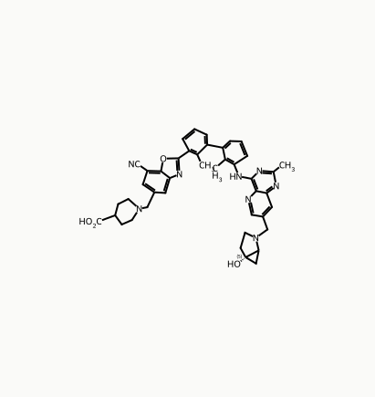 Cc1nc(Nc2cccc(-c3cccc(-c4nc5cc(CN6CCC(C(=O)O)CC6)cc(C#N)c5o4)c3C)c2C)c2ncc(CN3CC[C@]4(O)CC34)cc2n1